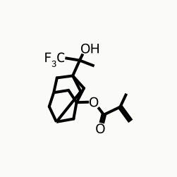 C=C(C)C(=O)OC12CC3CC(C1)CC(C(C)(O)C(F)(F)F)(C3)C2